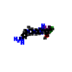 C=C(c1ccc(NN)cc1)N1CC[C@@H](N2Cc3cnc(Nc4cc(OC)cc(C(F)(F)P)c4)nc3C2)C[C@H]1C